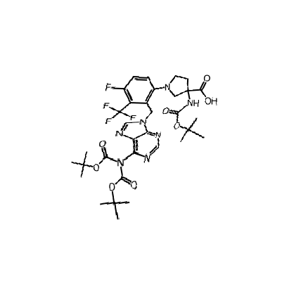 CC(C)(C)OC(=O)NC1(C(=O)O)CCN(c2ccc(F)c(C(F)(F)F)c2Cn2cnc3c(N(C(=O)OC(C)(C)C)C(=O)OC(C)(C)C)ncnc32)C1